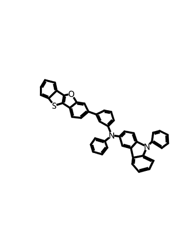 c1ccc(N(c2cccc(-c3ccc4c(c3)oc3c5ccccc5sc43)c2)c2ccc3c(c2)c2ccccc2n3-c2ccccc2)cc1